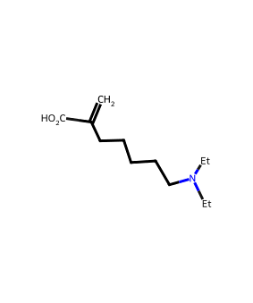 C=C(CCCCCN(CC)CC)C(=O)O